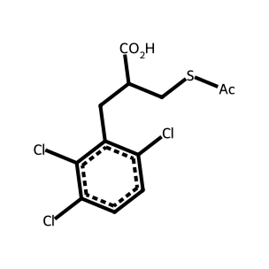 CC(=O)SCC(Cc1c(Cl)ccc(Cl)c1Cl)C(=O)O